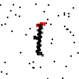 CCCCC=CCCCCCCCC(=O)O.[Dy]